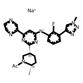 CC(=O)N1C[C@H](c2nc([N-]c3cccc(-c4cn(C)nn4)c3F)cc(-c3cnccn3)n2)CC[C@@H]1C.[Na+]